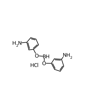 Cl.Nc1cccc(OBOc2cccc(N)c2)c1